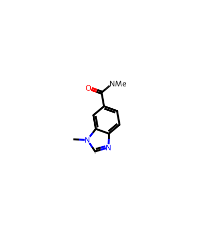 CNC(=O)c1ccc2n[c]n(C)c2c1